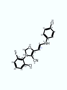 N#CC1=C(/C=C/Nc2ccc(Cl)cc2)OCN1c1c(F)cccc1Cl